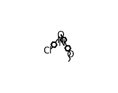 CCCOc1ccc(-c2ccc(=O)n(Cc3ccc(Cl)cc3)n2)cc1